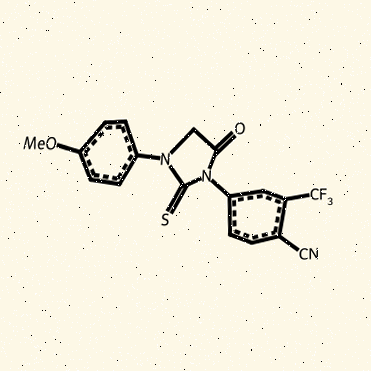 COc1ccc(N2CC(=O)N(c3ccc(C#N)c(C(F)(F)F)c3)C2=S)cc1